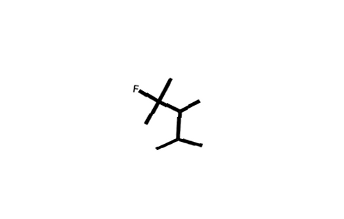 CC(C)C(C)C(C)(C)F